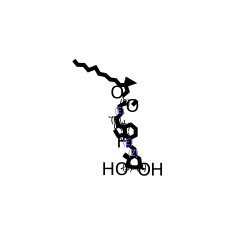 C=C1/C(=C\C=C2/CCC[C@]3(C)[C@@H]([C@H](C)/C=C/[C@H](CCC4(C(=O)CCCCCCCCC)CC4)OC)CC[C@@H]23)C[C@@H](O)C[C@@H]1O